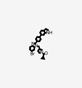 O=C(C1CC1)n1ccc(Cn2c(-c3ccc(-c4ccc5cc[nH]c5c4)cc3)nc3ccc(Br)cc32)c1